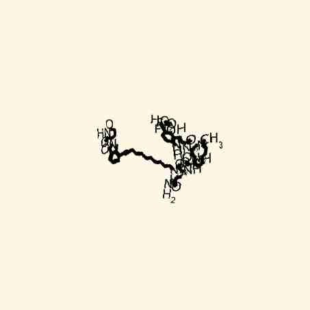 CN1CC[C@H]2CC[C@@H](C(=O)N[C@@H](CCC(N)=O)C(=O)NCCCCCCCCCC#Cc3cccc4c3CN(C3CCC(=O)NC3=O)C4=O)N2C(=O)[C@@H](NC(=O)c2cc3cc(C(F)(F)P(=O)(O)O)ccc3[nH]2)C1